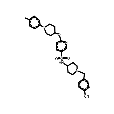 Cc1ccc(N2CCC(Oc3ccc(S(=O)(=O)NC4CCN(Cc5ccc(C#N)cc5)CC4)cn3)CC2)cc1